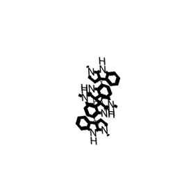 CN1CC[C@]2(c3cccc4c3N[C@@H]3N(C)CC[C@]43[C@@]34CCN(C)[C@@H]3Nc3c([C@]56CCN(C)C5Nc5ccccc56)cccc34)c3ccccc3NC12